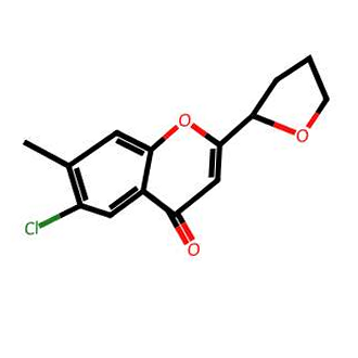 Cc1cc2oc(C3CCCO3)cc(=O)c2cc1Cl